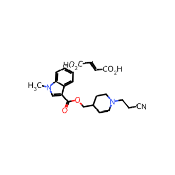 Cn1cc(C(=O)OCC2CCN(CCC#N)CC2)c2ccccc21.O=C(O)C=CC(=O)O